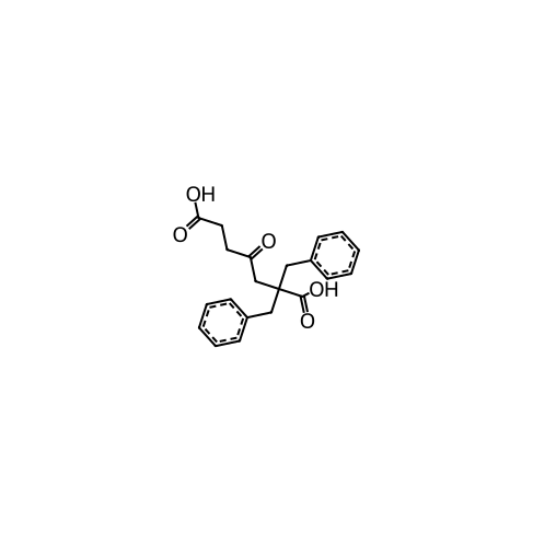 O=C(O)CCC(=O)CC(Cc1ccccc1)(Cc1ccccc1)C(=O)O